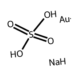 O=S(=O)(O)O.[Au].[NaH]